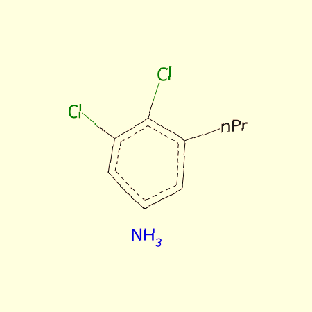 CCCc1cccc(Cl)c1Cl.N